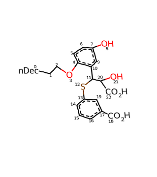 CCCCCCCCCCCCOc1ccc(O)cc1C(Sc1cccc(C(=O)O)c1)C(O)C(=O)O